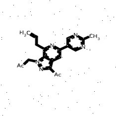 C=CCc1nc(-c2cnc(C)nc2)cc2c(C(C)=O)nn(CC(C)=O)c12